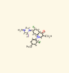 CC(=O)Oc1ccc(-n2cc(C(=O)O)c(=O)c3cc(F)c(N4CCN(C)CC4I)cc32)c(F)c1